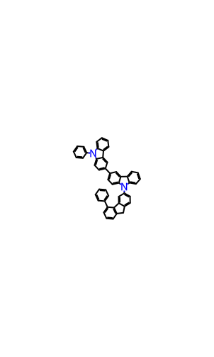 c1ccc(-c2cccc3c2-c2cc(-n4c5ccccc5c5cc(-c6ccc7c(c6)c6ccccc6n7-c6ccccc6)ccc54)ccc2C3)cc1